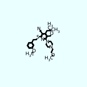 COCCN1CCN(c2nc(SCCc3cccc(OC)c3)c(C#N)c3c2COC(C)(C)C3)CC1